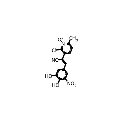 Cc1ccc(C(C#N)=Cc2cc(O)c(O)c([N+](=O)[O-])c2)c(Cl)[n+]1[O-]